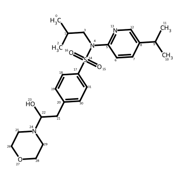 CC(C)CN(c1ccc(C(C)C)cn1)S(=O)(=O)c1ccc(CC(O)N2CCOCC2)cc1